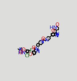 CCN(C)S(=O)(=O)Nc1ccc(F)c(Oc2ccc3ncn([C@H]4CCC5(CCN(C(=O)CN6CCC(c7ccc8c(C9CCC(=O)NC9=O)nn(C)c8c7)CC6)CC5)C4)c(=O)c3c2)c1Cl